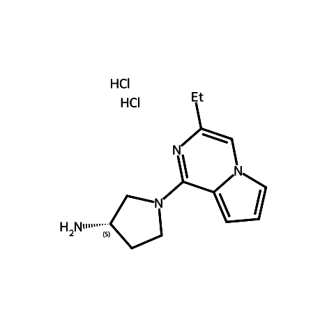 CCc1cn2cccc2c(N2CC[C@H](N)C2)n1.Cl.Cl